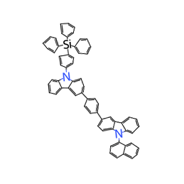 c1ccc([Si](c2ccccc2)(c2ccccc2)c2ccc(-n3c4ccccc4c4cc(-c5ccc(-c6ccc7c(c6)c6ccccc6n7-c6cccc7ccccc67)cc5)ccc43)cc2)cc1